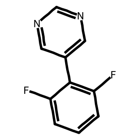 Fc1cccc(F)c1-c1cncnc1